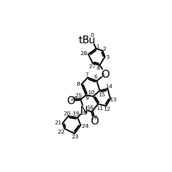 CC(C)(C)c1ccc(Oc2ccc3c4c(cccc24)C(=O)N(c2ccccc2)C3=O)cc1